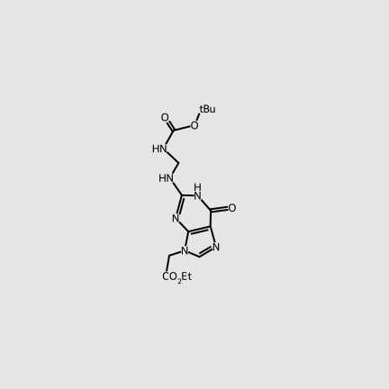 CCOC(=O)Cn1cnc2c(=O)[nH]c(NCNC(=O)OC(C)(C)C)nc21